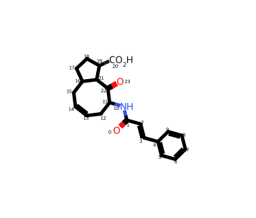 O=C(C=Cc1ccccc1)NC1CC=CCC2CCC(C(=O)O)C2C1=O